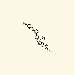 CCOC(=O)c1cc2c(nc(CN3CCC(c4cccc(OCc5ccc(C#N)cc5F)n4)CC3)n2C[C@@H]2CCO2)s1